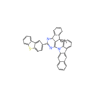 CC12c3ccccc3-c3nc(-c4ccc5sc6ccccc6c5c4)nc(c31)-n1c3cc4ccccc4cc3c3cccc2c31